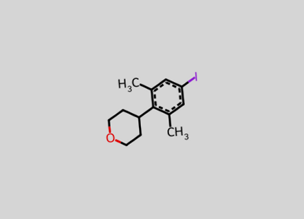 Cc1cc(I)cc(C)c1C1CCOCC1